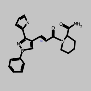 NC(=O)C1CCCCN1C(=O)/C=C/c1cn(-c2ccccc2)nc1-c1cccs1